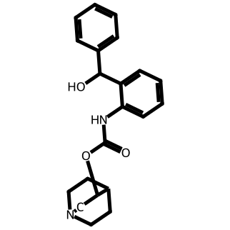 O=C(Nc1ccccc1C(O)c1ccccc1)OC1CN2CCC1CC2